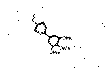 COc1cc(-c2ccc(CCl)cn2)cc(OC)c1OC